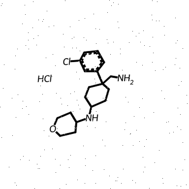 Cl.NCC1(c2cccc(Cl)c2)CCC(NC2CCOCC2)CC1